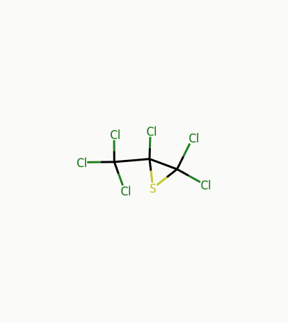 ClC(Cl)(Cl)C1(Cl)SC1(Cl)Cl